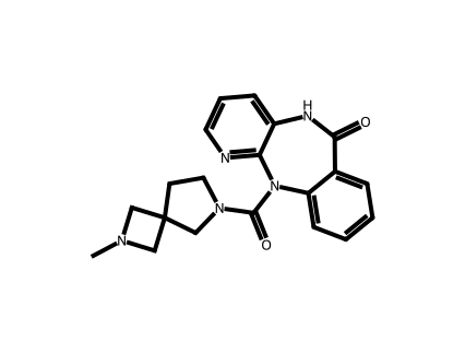 CN1CC2(CCN(C(=O)N3c4ccccc4C(=O)Nc4cccnc43)C2)C1